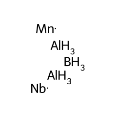 B.[AlH3].[AlH3].[Mn].[Nb]